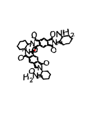 NC1CCCC[C@H]1n1c(=O)c2cc3c(=O)n(C4CCCC[C@H]4n4c(=O)c5cc6c(=O)n(C7CCCC[C@H]7N)c(=O)c6cc5c4=O)c(=O)c3cc2c1=O